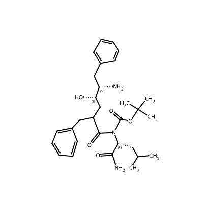 CC(C)C[C@H](C(N)=O)N(C(=O)OC(C)(C)C)C(=O)C(Cc1ccccc1)C[C@H](O)[C@@H](N)Cc1ccccc1